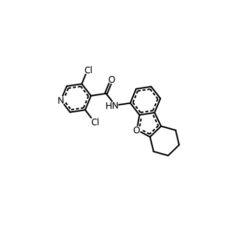 O=C(Nc1cccc2c3c(oc12)CCCC3)c1c(Cl)cncc1Cl